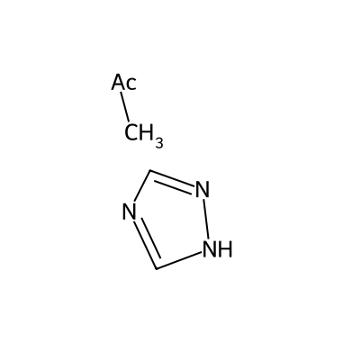 CC(C)=O.c1nc[nH]n1